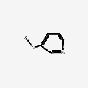 [S]Sc1cccnc1